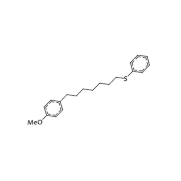 COc1ccc(CCCCCCCSc2ccccc2)cc1